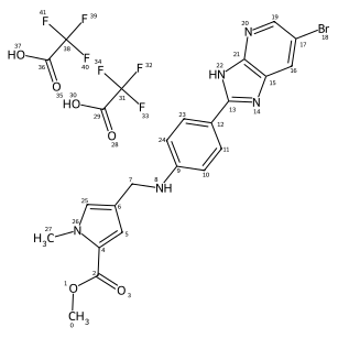 COC(=O)c1cc(CNc2ccc(-c3nc4cc(Br)cnc4[nH]3)cc2)cn1C.O=C(O)C(F)(F)F.O=C(O)C(F)(F)F